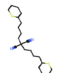 N#CC(C#N)(CCCCC1CCCCS1)CCCCC1CCCCS1